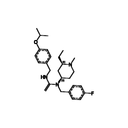 C=C(NCc1ccc(OC(C)C)cc1)N(Cc1ccc(F)cc1)[C@@H]1CCN(C)[C@H](CC)C1